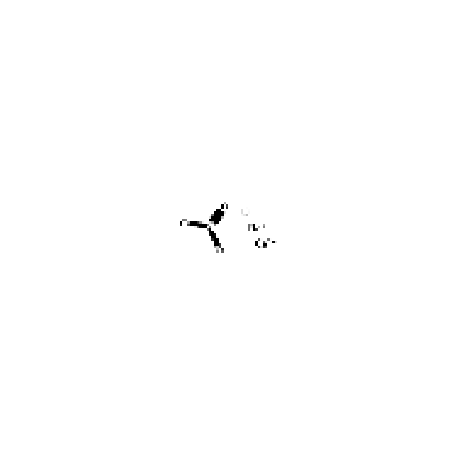 O=S([O-])[O-].[Ca+2].[Na+].[OH-]